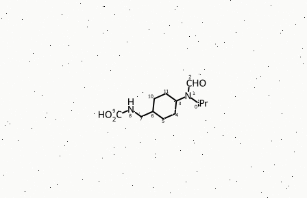 CC(C)N(C=O)C1CCC(CNC(=O)O)CC1